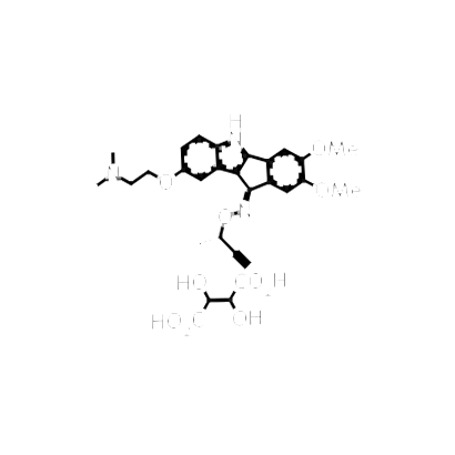 C#C[C@H](C)ON=C1c2cc(OC)c(OC)cc2-c2[nH]c3ccc(OCCN(C)C)cc3c21.O=C(O)C(O)C(O)C(=O)O